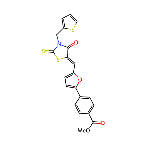 COC(=O)c1ccc(-c2ccc(/C=C3\SC(=S)N(Cc4cccs4)C3=O)o2)cc1